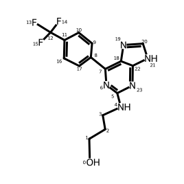 OCCCNc1nc(-c2ccc(C(F)(F)F)cc2)c2nc[nH]c2n1